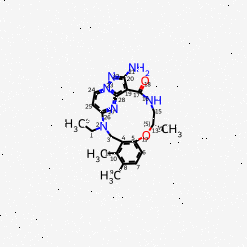 CCN1Cc2c(ccc(C)c2C)O[C@@H](C)CNC(=O)c2c(N)nn3ccc1nc23